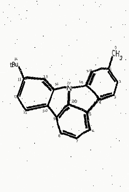 Cc1ccc2c3cccc4c5ccc(C(C)(C)C)cc5n(c2c1)c34